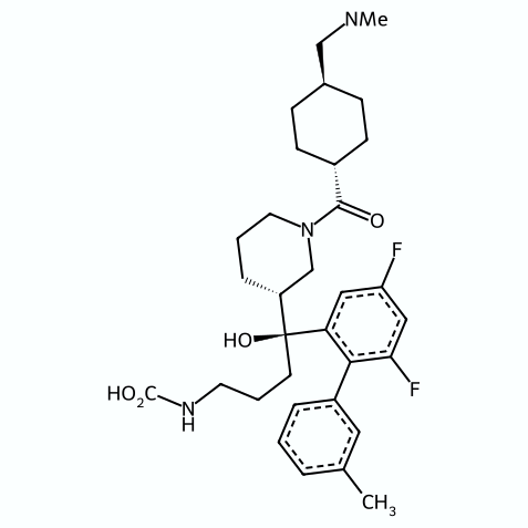 CNC[C@H]1CC[C@H](C(=O)N2CCC[C@@H]([C@@](O)(CCCNC(=O)O)c3cc(F)cc(F)c3-c3cccc(C)c3)C2)CC1